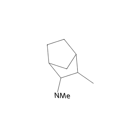 CNC1C2CCC(C2)C1C